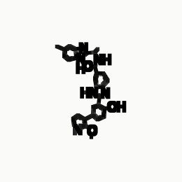 COc1ncccc1-c1ccc(O)c(-c2nc3ccc(C(=O)NC(C)c4nc5cc(C)ccc5[nH]4)cc3[nH]2)c1